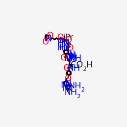 CC(C)[C@H](NC(=O)CCCCCN1C(=O)C=CC1=O)C(=O)N[C@@H](C)C(=O)Nc1ccc(C(=O)NCCC[C@H](NC(=O)c2ccc(OCc3cnc4nc(N)nc(N)c4n3)cc2)C(=O)O)c(-c2nn[nH]n2)c1